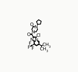 CC(C)c1cc(C(F)(F)F)c2nc(C(=O)N3CCN(C4CCCC4)C(=O)C3)c(Cl)n2c1